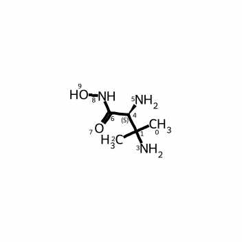 CC(C)(N)[C@H](N)C(=O)NO